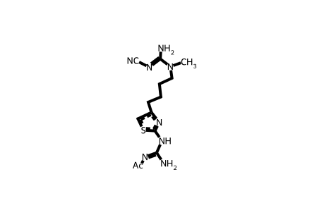 CC(=O)N=C(N)Nc1nc(CCCCN(C)C(N)=NC#N)cs1